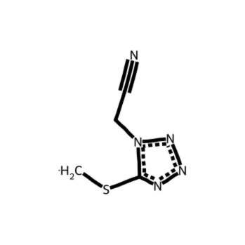 [CH2]Sc1nnnn1CC#N